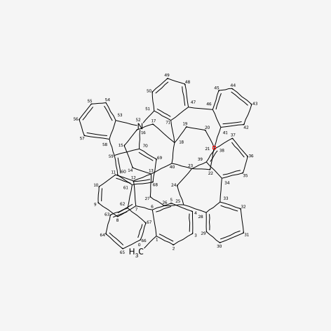 Cc1ccccc1-c1ccccc1C12CCCCC34CCC(CC5(CC(CC1)c1ccccc1-c1ccccc15)C23)c1ccccc1-c1cccc(-n2c3ccccc3c3cc(-c5ccccc5)ccc32)c14